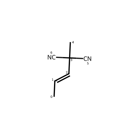 C/[C]=C/C(C)(C#N)C#N